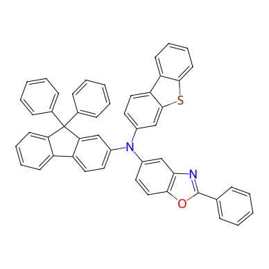 c1ccc(-c2nc3cc(N(c4ccc5c(c4)C(c4ccccc4)(c4ccccc4)c4ccccc4-5)c4ccc5c(c4)sc4ccccc45)ccc3o2)cc1